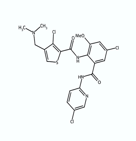 COc1cc(Cl)cc(C(=O)Nc2ccc(Cl)cn2)c1NC(=O)c1scc(CN(C)C)c1Cl